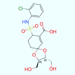 O=C(O)C1=CC2(CCC1S(=O)(=O)Nc1ccccc1Cl)O[C@H](CO)[C@@H](CO)O2